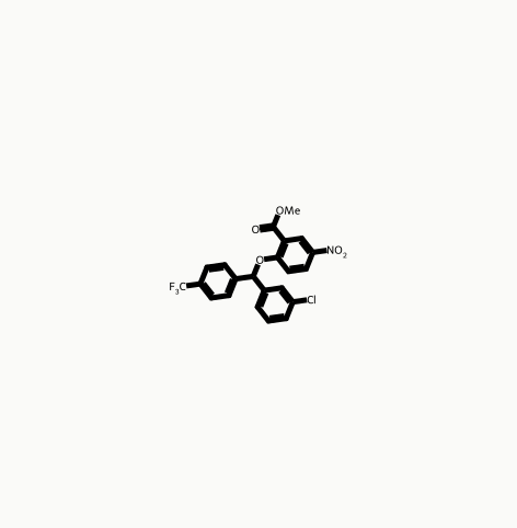 COC(=O)c1cc([N+](=O)[O-])ccc1OC(c1ccc(C(F)(F)F)cc1)c1cccc(Cl)c1